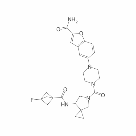 NC(=O)c1cc2cc(N3CCN(C(=O)N4CC(NC(=O)C56CC(F)(C5)C6)C5(CC5)C4)CC3)ccc2o1